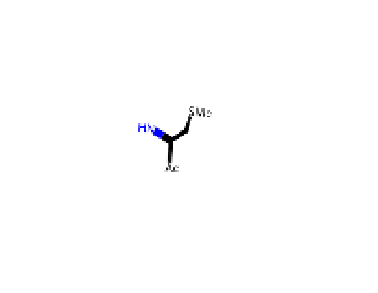 CSCC(=N)C(C)=O